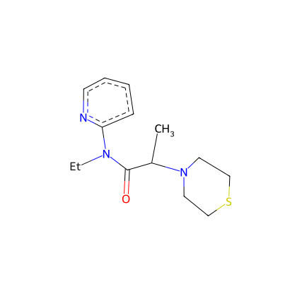 CCN(C(=O)C(C)N1CCSCC1)c1ccccn1